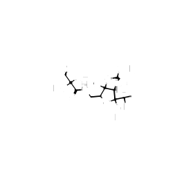 CCC(C)(C)C(=O)OCC1OC(O)(C(F)(F)F)C(F)(F)C1(C)OC(C)=O